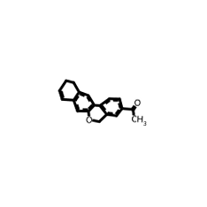 CC(=O)c1ccc2c(c1)COc1cc3c(cc1-2)CCC=C3